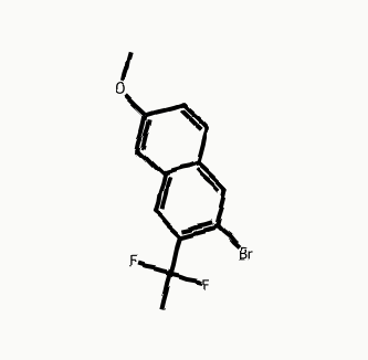 COc1ccc2cc(Br)c(C(C)(F)F)cc2c1